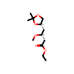 CCOC(=O)C[C@@H](C[C@H]1COC(C)(C)O1)OC